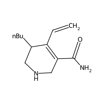 C=CC1=C(C(N)=O)CNCC1CCCC